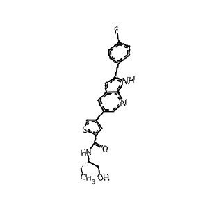 CC[C@@H](CO)NC(=O)c1cc(-c2cnc3[nH]c(-c4ccc(F)cc4)cc3c2)cs1